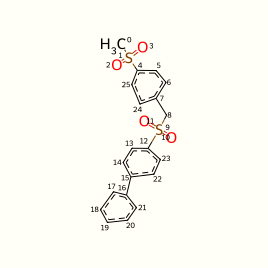 CS(=O)(=O)c1ccc(CS(=O)(=O)c2ccc(-c3ccccc3)cc2)cc1